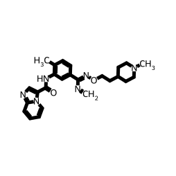 C=N/C(=N\OCCC1CCN(C)CC1)c1ccc(C)c(NC(=O)c2cnc3ccccn23)c1